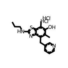 CCCNc1nc2c(Cc3cccnc3)c(C)c(O)c(C)c2s1.Cl.Cl